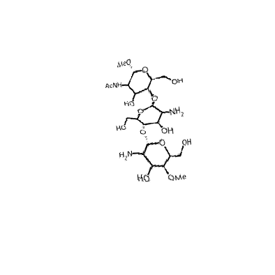 CO[C@@H]1O[C@@H](CO)[C@@H](O[C@@H]2OC(CO)[C@@H](O[C@@H]3O[C@@H](CO)[C@@H](OC)C(O)C3N)[C@H](O)C2N)C(O)C1NC(C)=O